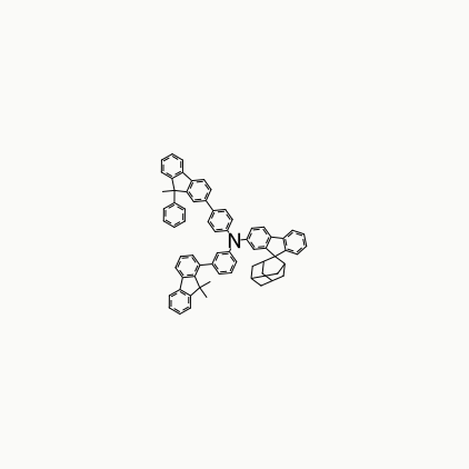 CC1(C)c2ccccc2-c2cccc(-c3cccc(N(c4ccc(-c5ccc6c(c5)C(C)(c5ccccc5)c5ccccc5-6)cc4)c4ccc5c(c4)C4(c6ccccc6-5)C5CC6CC(C5)CC4C6)c3)c21